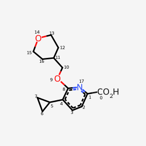 O=C(O)c1ccc(C2CC2)c(OCC2CCOCC2)n1